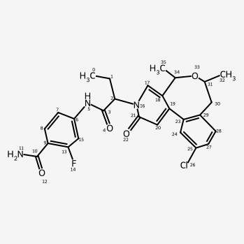 CCC(C(=O)Nc1ccc(C(N)=O)c(F)c1)n1cc2c(cc1=O)-c1cc(Cl)ccc1CC(C)OC2C